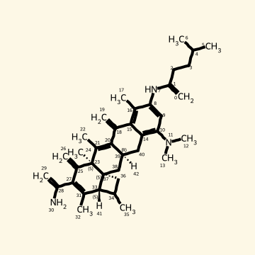 C=C(CCC(C)C)Nc1cc(N(C)C)c2c(c1C)C(=C)C1=C(C)[C@]3(C)C(=C)C(C(=C)N)=C(C)[C@H]4C(C)C[C@]43C[C@@H]1C2